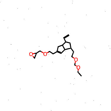 C=CC1CC(CCOCOCC)C2C=C(CCOCC3CO3)CC12